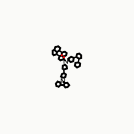 c1ccc(-c2ccccc2-c2ccc(N(c3ccc(-c4ccc(-n5c6ccccc6c6ccccc65)cc4)cc3)c3ccc(-c4cccc5cccc(-c6ccccc6)c45)cc3)cc2)cc1